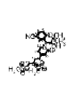 CC1(C)Oc2ccc(C#N)cc2[C@@H](n2ccc(C(CCCOS(C)(=O)=O)OS(C)(=O)=O)cc2=O)[C@@H]1O